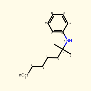 CCCCCCCCCCCCC(C)(C)Nc1ccccc1